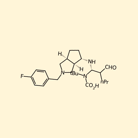 CCCC(C=O)[C@@H](N[C@H]1CC[C@@H]2CN(Cc3ccc(F)cc3)C[C@@H]21)N(C(=O)O)C(C)(C)C